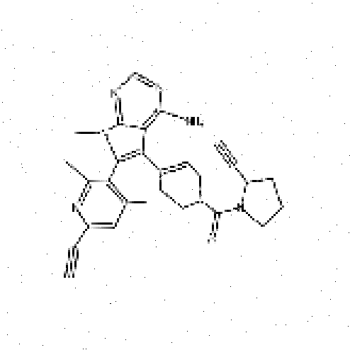 C#Cc1cc(C)c(-c2c(C3=CCC(C(=O)N4CCCC4C#C)CC3)c3c(N)ncnc3n2C)c(C)n1